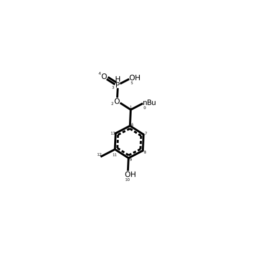 CCCCC(O[PH](=O)O)c1ccc(O)c(C)c1